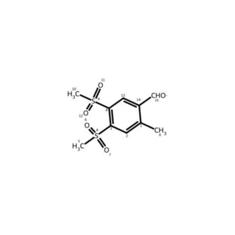 Cc1cc(S(C)(=O)=O)c(S(C)(=O)=O)cc1[C]=O